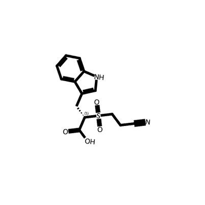 N#CCCS(=O)(=O)[C@@H](Cc1c[nH]c2ccccc12)C(=O)O